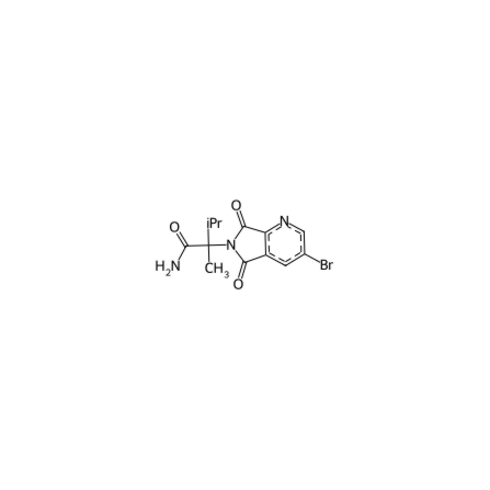 CC(C)C(C)(C(N)=O)N1C(=O)c2cc(Br)cnc2C1=O